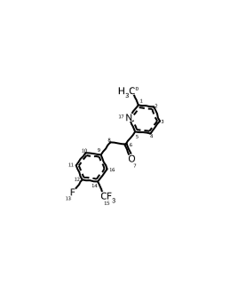 Cc1cccc(C(=O)Cc2ccc(F)c(C(F)(F)F)c2)n1